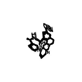 CC(C)COc1cc2c(c(C(=O)N[C@H](C)c3ccccc3)c1)[C@@H]1C[C@@H]3NCCC[C@@H]3CN1CC2